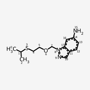 CC(C)SCCOCn1ncc2ccc(N)cc21